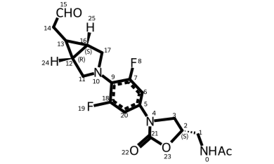 CC(=O)NC[C@H]1CN(c2cc(F)c(N3C[C@@H]4C(CC=O)[C@@H]4C3)c(F)c2)C(=O)O1